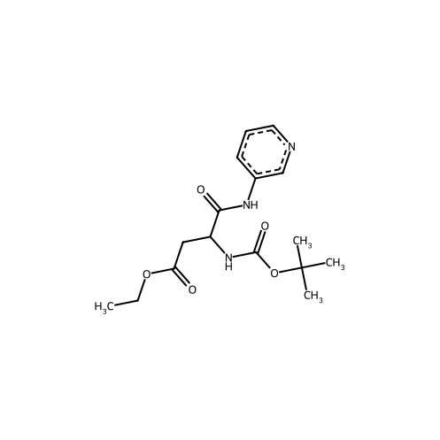 CCOC(=O)CC(NC(=O)OC(C)(C)C)C(=O)Nc1cccnc1